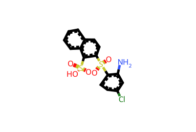 Nc1cc(Cl)ccc1S(=O)(=O)c1ccc2ccccc2c1S(=O)(=O)O